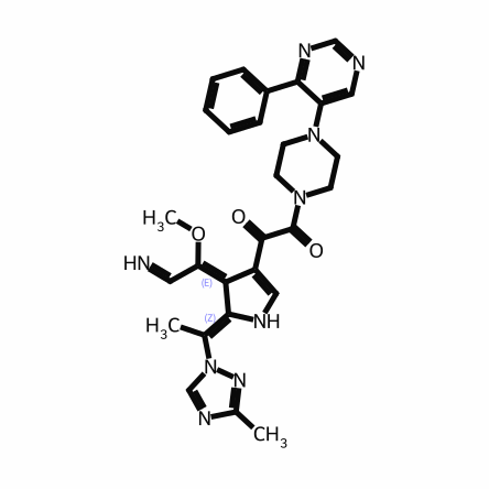 CO/C(C=N)=c1\c(C(=O)C(=O)N2CCN(c3cncnc3-c3ccccc3)CC2)c[nH]\c1=C(\C)n1cnc(C)n1